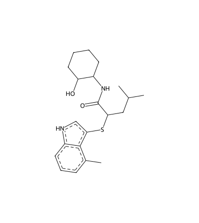 Cc1cccc2[nH]cc(SC(CC(C)C)C(=O)NC3CCCCC3O)c12